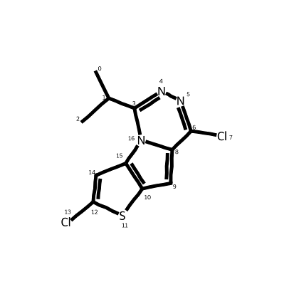 CC(C)c1nnc(Cl)c2cc3sc(Cl)cc3n12